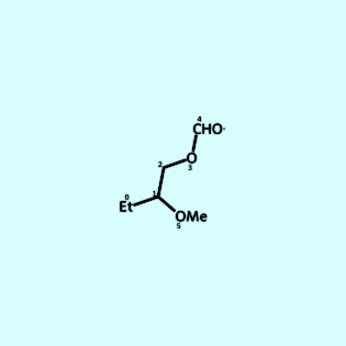 CCC(CO[C]=O)OC